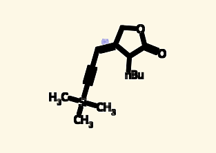 CCCCC1C(=O)OC/C1=C/C#C[Si](C)(C)C